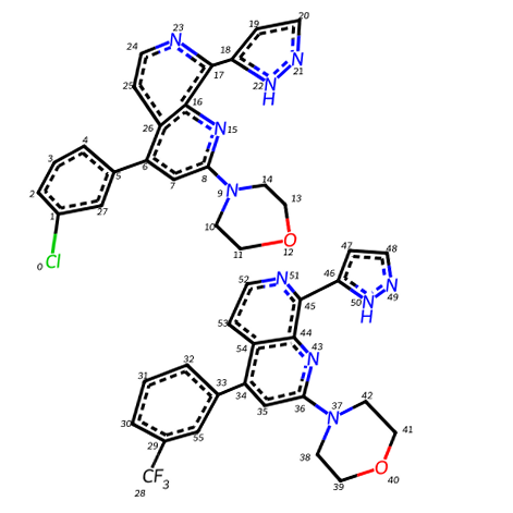 Clc1cccc(-c2cc(N3CCOCC3)nc3c(-c4ccn[nH]4)nccc23)c1.FC(F)(F)c1cccc(-c2cc(N3CCOCC3)nc3c(-c4ccn[nH]4)nccc23)c1